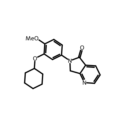 COc1ccc(N2Cc3ncccc3C2=O)cc1OC1CCCCC1